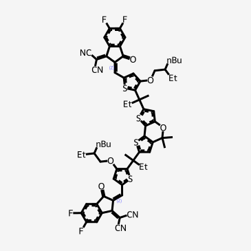 CCCCC(CC)COc1cc(/C=C2\C(=O)c3cc(F)c(F)cc3C2=C(C#N)C#N)sc1C(C)(CC)c1cc2c(s1)-c1sc(C(C)(CC)c3sc(/C=C4\C(=O)c5cc(F)c(F)cc5C4=C(C#N)C#N)cc3OCC(CC)CCCC)cc1C(C)(C)O2